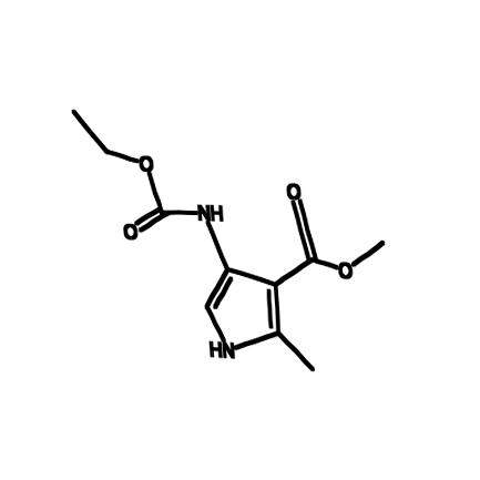 CCOC(=O)Nc1c[nH]c(C)c1C(=O)OC